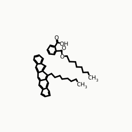 CCCCCCCCOC(=O)c1ccccc1C(=O)O.CCCCCCCCc1c2cc3ccccc3cc2cc2cc3ccccc3cc12